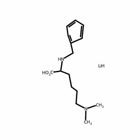 CN(C)CCCCC(NCc1ccccc1)C(=O)O.[LiH]